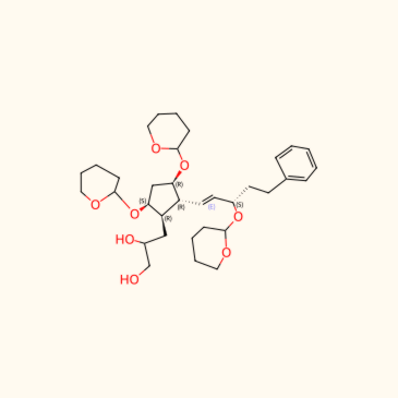 OCC(O)C[C@@H]1[C@@H](/C=C/[C@H](CCc2ccccc2)OC2CCCCO2)[C@H](OC2CCCCO2)C[C@@H]1OC1CCCCO1